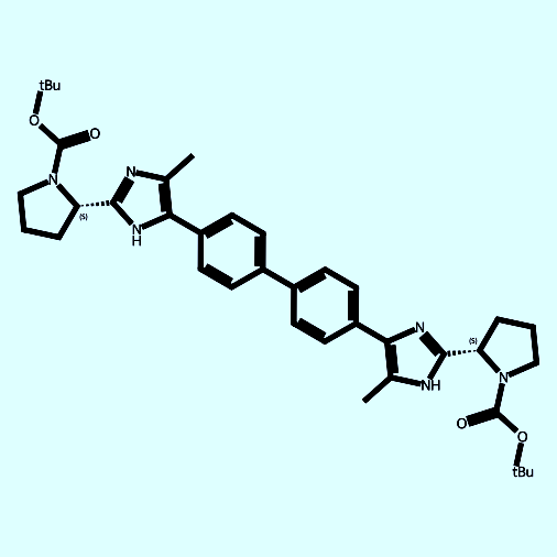 Cc1nc([C@@H]2CCCN2C(=O)OC(C)(C)C)[nH]c1-c1ccc(-c2ccc(-c3nc([C@@H]4CCCN4C(=O)OC(C)(C)C)[nH]c3C)cc2)cc1